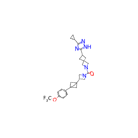 O=C(N1CC(C23CC(c4ccc(OC(F)(F)F)cc4)(C2)C3)C1)N1CC2(CC(c3nc(C4CC4)n[nH]3)C2)C1